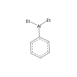 C[CH2][Al]([CH2]C)[c]1ccccc1